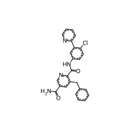 NC(=O)c1cnc(C(=O)Nc2ccc(Cl)c(-c3ccccn3)c2)c(Cc2ccccc2)c1